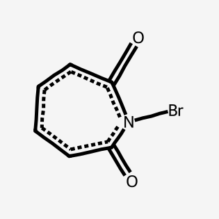 O=c1ccccc(=O)n1Br